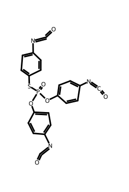 O=C=Nc1ccc(OP(=O)(Oc2ccc(N=C=O)cc2)Sc2ccc(N=C=O)cc2)cc1